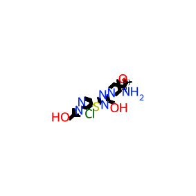 C[C@@H]1OCC2(CCN(c3ncc(Sc4ccnc(N5CC(CO)C5)c4Cl)nc3CO)CC2)[C@@H]1N